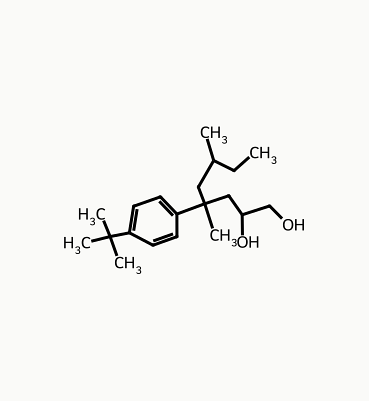 CCC(C)CC(C)(CC(O)CO)c1ccc(C(C)(C)C)cc1